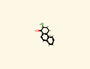 O=C1c2ccc3ccccc3c2CCC1Br